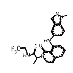 CC(C(=O)NCC(F)(F)F)n1ccc2cccc(Nc3ccc4c(cnn4C)c3)c2c1=O